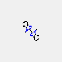 Cn1c(-c2nc3ccccc3n2C)nc2ccccc21